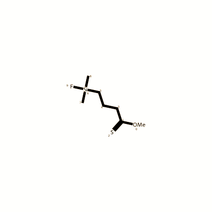 COC(=S)CCC[Si](C)(C)F